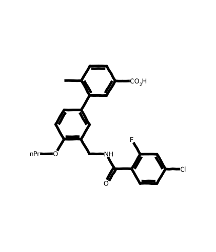 CCCOc1ccc(-c2cc(C(=O)O)ccc2C)cc1CNC(=O)c1ccc(Cl)cc1F